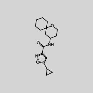 O=C(NC1CCOC2(CCCCC2)C1)c1cc(C2CC2)on1